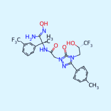 Cc1ccc(-c2nn(CC(=O)N[C@@](C)(/C(N)=N/O)c3cccc(C(F)(F)F)c3)c(=O)n2C[C@H](O)C(F)(F)F)cc1